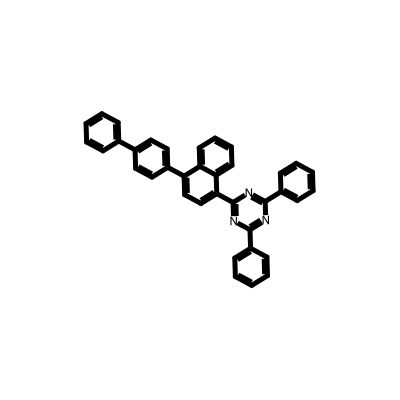 c1ccc(-c2ccc(-c3ccc(-c4nc(-c5ccccc5)nc(-c5ccccc5)n4)c4ccccc34)cc2)cc1